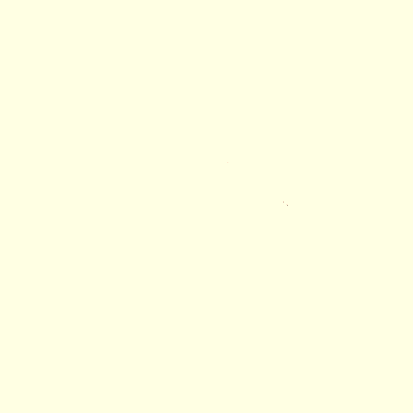 Clc1cncc2sc3ccc(Br)cc3c12